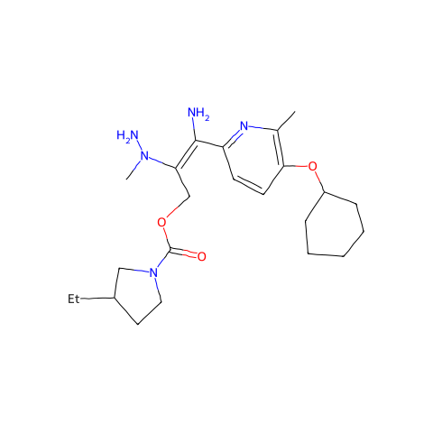 CCC1CCN(C(=O)OC/C(=C(/N)c2ccc(OC3CCCCC3)c(C)n2)N(C)N)C1